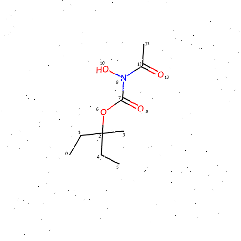 CCC(C)(CC)OC(=O)N(O)C(C)=O